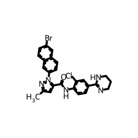 Cc1cc(C(=O)Nc2ccc(C3=NCCCN3)cc2Cl)n(-c2ccc3cc(Br)ccc3c2)n1